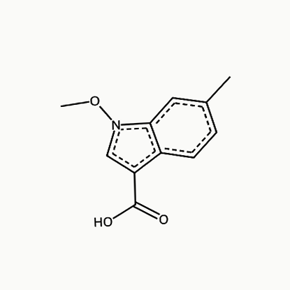 COn1cc(C(=O)O)c2ccc(C)cc21